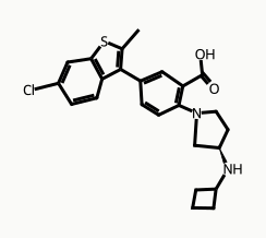 Cc1sc2cc(Cl)ccc2c1-c1ccc(N2CC[C@@H](NC3CCC3)C2)c(C(=O)O)c1